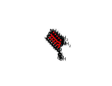 CC(CC(CC(CC(CC(CC(CC(CC(C)C(N)=O)C(N)=O)C(=O)NCNC(=O)C(CC(C)c1ccc(S(=O)(=O)O)cc1)CC(CC(CC(CC(CC(CC(C)c1ccc(S(=O)(=O)O)cc1)c1ccc(S(=O)(=O)O)cc1)c1ccc(S(=O)(=O)O)cc1)c1ccc(S(=O)(=O)O)cc1)c1ccc(S(=O)(=O)O)cc1)c1ccc(S(=O)(=O)O)cc1)C(N)=O)C(N)=O)C(N)=O)C(N)=O)C(N)=O